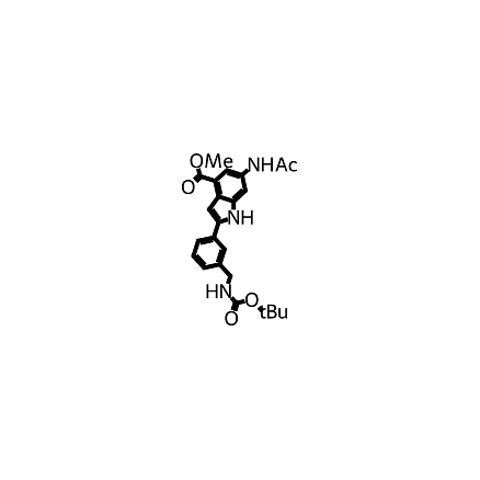 COC(=O)c1cc(NC(C)=O)cc2[nH]c(-c3cccc(CNC(=O)OC(C)(C)C)c3)cc12